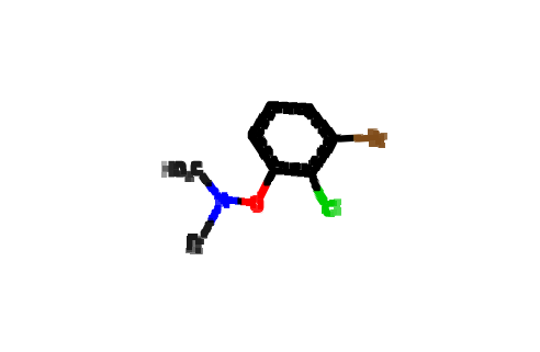 CCN(Oc1cccc(Br)c1Cl)C(=O)O